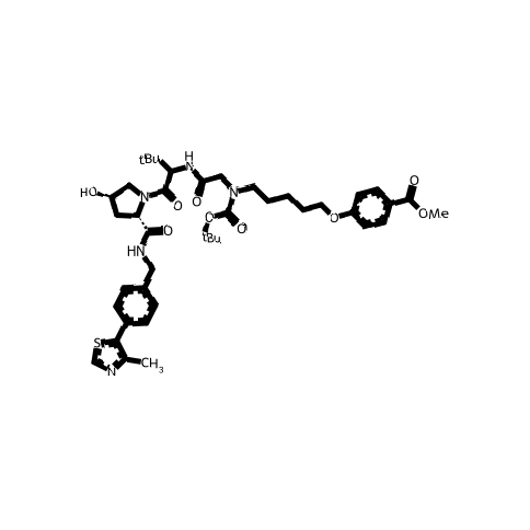 COC(=O)c1ccc(OCCCCCN(CC(=O)NC(C(=O)N2C[C@H](O)C[C@H]2C(=O)NCc2ccc(-c3scnc3C)cc2)C(C)(C)C)C(=O)OC(C)(C)C)cc1